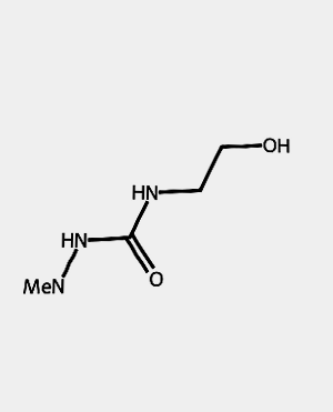 CNNC(=O)NCCO